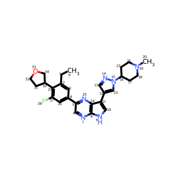 CCc1cc(-c2cnc3[nH]cc(-c4cnn(C5CCN(C)CC5)c4)c3n2)cc(F)c1C1CCOC1